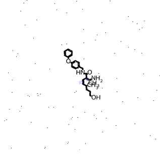 C/C(N)=C(\C=C/C(C)CCCO)C(=O)NCc1ccc(Oc2ccccc2)cc1